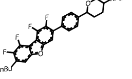 CCCCCC1CCC(c2ccc(-c3cc4oc5cc(CCCC)c(F)c(F)c5c4c(F)c3F)cc2)OC1